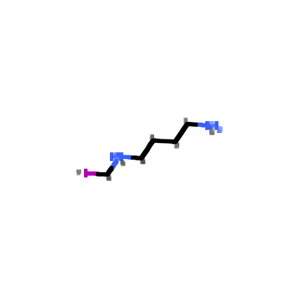 NCCCCNCI